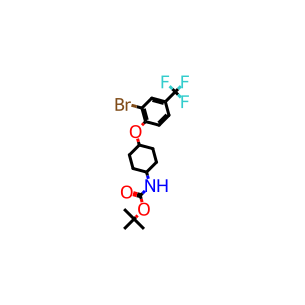 CC(C)(C)OC(=O)NC1CCC(Oc2ccc(C(F)(F)F)cc2Br)CC1